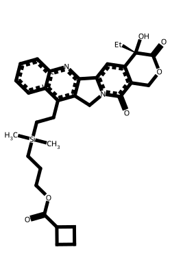 CC[C@@]1(O)C(=O)OCc2c1cc1n(c2=O)Cc2c-1nc1ccccc1c2CC[Si](C)(C)CCCOC(=O)C1CCC1